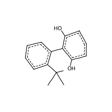 CC(C)(C)c1ccccc1-c1c(O)cccc1O